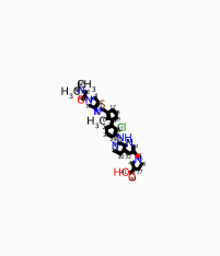 Cc1c(-c2nc3c(s2)CN(C(=O)CN(C)C)C3)cccc1-c1cccc(Nc2nccc3cc(CN4CCC(C(=O)O)C4)cnc23)c1Cl